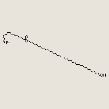 CC/C=C\C/C=C\C/C=C\CCCCCCCC(=O)OCCCCCCCCCCCCCCCCCCCCCCCCCCCCCCCCCCCCCCO